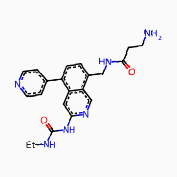 CCNC(=O)Nc1cc2c(-c3ccncc3)ccc(CNC(=O)CCN)c2cn1